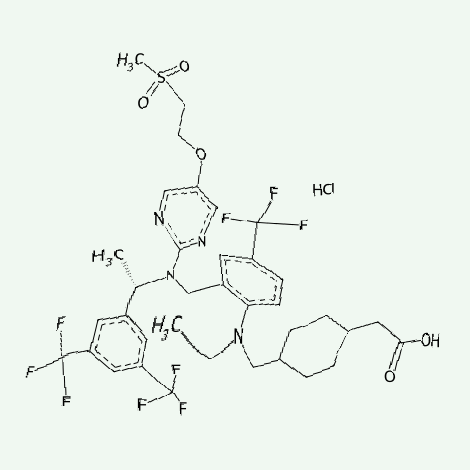 CCN(CC1CCC(CC(=O)O)CC1)c1ccc(C(F)(F)F)cc1CN(c1ncc(OCCS(C)(=O)=O)cn1)[C@@H](C)c1cc(C(F)(F)F)cc(C(F)(F)F)c1.Cl